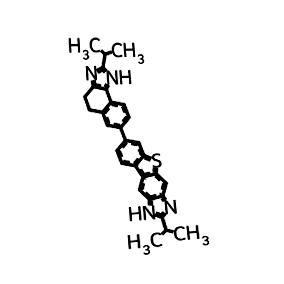 CC(C)c1nc2c([nH]1)-c1ccc(-c3ccc4c(c3)sc3cc5nc(C(C)C)[nH]c5cc34)cc1CC2